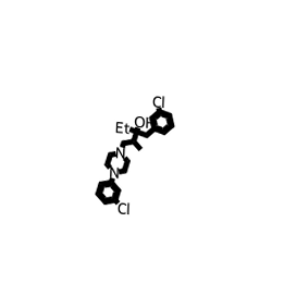 CCC(O)(Cc1cccc(Cl)c1)C(C)CN1CCN(c2cccc(Cl)c2)CC1